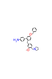 COc1cc(Cc2ccc(OCc3ccccc3)cc2-c2ccc(N)cc2)ccc1CN1CCCC1